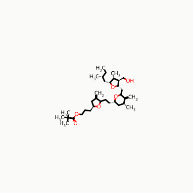 C=C1C[C@H](CCCOC(=O)C(C)(C)C)OC1CC[C@H]1C[C@@H](C)C(=C)C(C[C@@H]2O[C@H](C[C@H](C)CC)[C@H](C)[C@H]2CO)O1